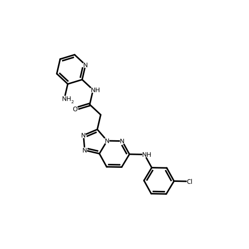 Nc1cccnc1NC(=O)Cc1nnc2ccc(Nc3cccc(Cl)c3)nn12